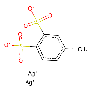 Cc1ccc(S(=O)(=O)[O-])c(S(=O)(=O)[O-])c1.[Ag+].[Ag+]